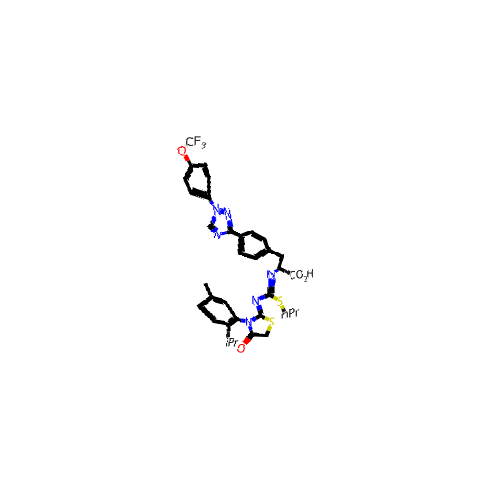 CCCSC(=N\C(Cc1ccc(-c2ncn(-c3ccc(OC(F)(F)F)cc3)n2)cc1)C(=O)O)/N=C1\SCC(=O)N1c1cc(C)ccc1C(C)C